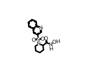 O=C(NO)C1CCCCN1S(=O)(=O)c1cnc2ccccc2c1